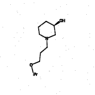 CC(C)OCCCN1CCC[C@@H](O)C1